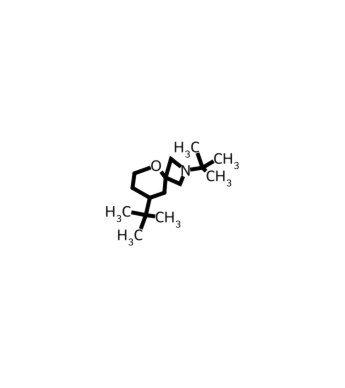 CC(C)(C)C1CCOC2(C1)CN(C(C)(C)C)C2